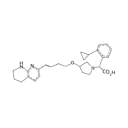 O=C(O)C(c1ccccc1C1CC1)N1CCC(OCCCCc2ccc3c(n2)NCCC3)C1